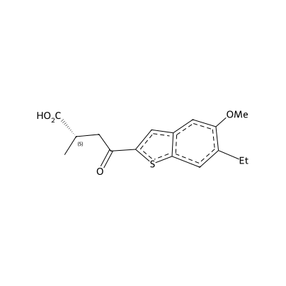 CCc1cc2sc(C(=O)C[C@H](C)C(=O)O)cc2cc1OC